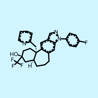 O[C@@]1(C(F)(F)F)CC[C@@]2(Cc3ccccn3)c3cc4cnn(-c5ccc(F)cc5)c4cc3CCC[C@H]2C1